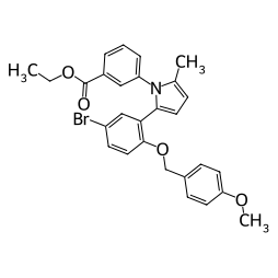 CCOC(=O)c1cccc(-n2c(C)ccc2-c2cc(Br)ccc2OCc2ccc(OC)cc2)c1